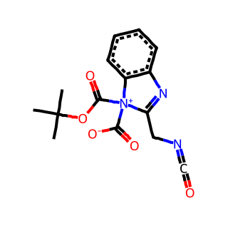 CC(C)(C)OC(=O)[N+]1(C(=O)[O-])C(CN=C=O)=Nc2ccccc21